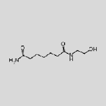 NC(=O)CCCCCC(=O)NCCO